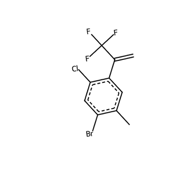 C=C(c1cc(C)c(Br)cc1Cl)C(F)(F)F